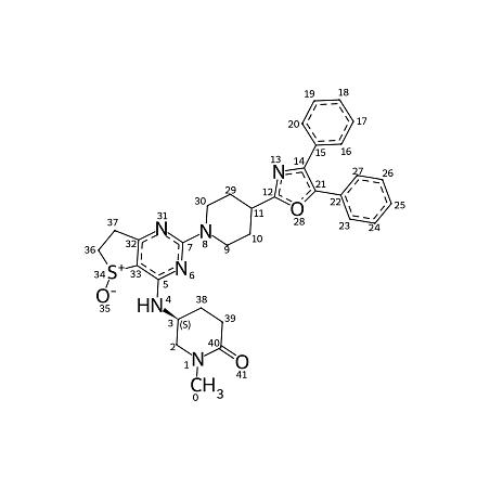 CN1C[C@@H](Nc2nc(N3CCC(c4nc(-c5ccccc5)c(-c5ccccc5)o4)CC3)nc3c2[S+]([O-])CC3)CCC1=O